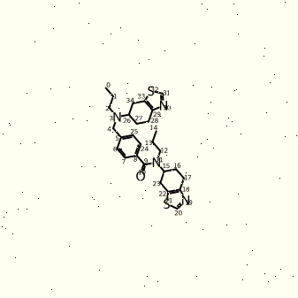 CCCN(Cc1ccc(C(=O)N(CCC)C2CCc3ncsc3C2)cc1)C1CCc2ncsc2C1